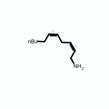 CCCCC/C=C\C/C=C\CN